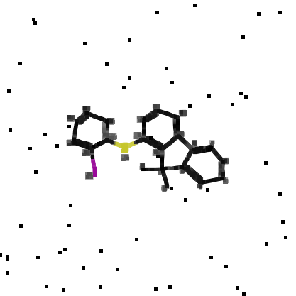 CC1(C)c2ccccc2-c2cccc(Sc3ccccc3I)c21